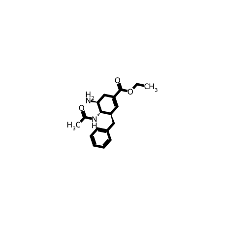 CCOC(=O)C1=C[C@@H](Cc2ccccc2)[C@H](NC(C)=O)[C@@H](N)C1